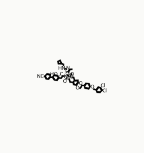 Cc1nc(NCC2CCC2)sc1S(=O)(=O)N1Cc2cc3c(cc2C[C@H]1C(=O)N[C@@H](Cc1ccc(-c2ccc(C#N)cc2)cc1)C(=O)O)OCC(c1ccc(OCc2ccc(Cl)c(Cl)c2)cc1)O3